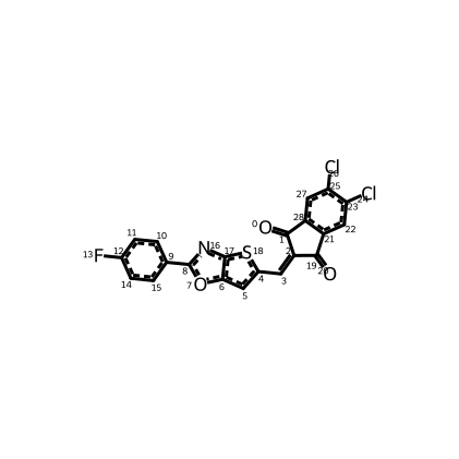 O=C1C(=Cc2cc3oc(-c4ccc(F)cc4)nc3s2)C(=O)c2cc(Cl)c(Cl)cc21